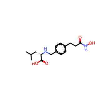 CC(C)C[C@H](NCc1ccc(CCC(=O)NO)cc1)C(=O)O